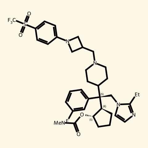 CCc1nccn1C[C@@](c1cccc(F)c1)(C1CCN(CC2CN(c3ccc(S(=O)(=O)C(F)(F)F)cc3)C2)CC1)[C@H]1CCC[C@@H]1OC(=O)NC